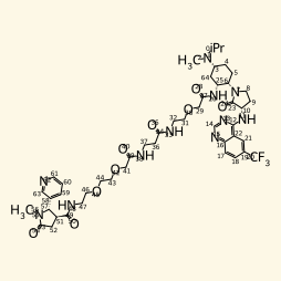 CC(C)N(C)[C@@H]1CC[C@H](N2CC[C@H](Nc3ncnc4ccc(C(F)(F)F)cc34)C2=O)[C@H](NC(=O)COCCNC(=O)CCNC(=O)COCCOCCNC(=O)[C@H]2CC(=O)N(C)[C@@H]2c2cccnc2)C1